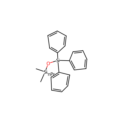 [CH2]CC[Si](C)(C)O[Si](c1ccccc1)(c1ccccc1)c1ccccc1